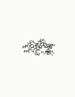 CC(C)CCC[C@@H](C)CCC[C@@H](C)CCC[C@@H](C)CCOC[C@@H](CP(=O)(O)OCC[N+](C)(C)C)OCC[C@H](C)CCC[C@H](C)CCC[C@H](C)CCCC(C)C.[OH-]